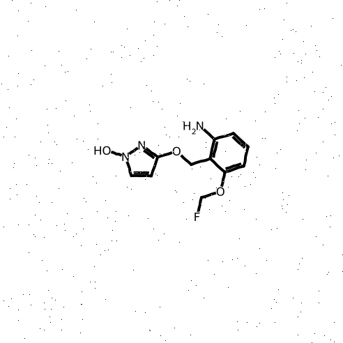 Nc1cccc(OCF)c1COc1ccn(O)n1